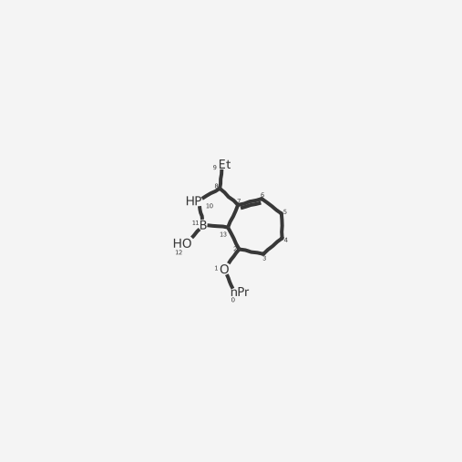 CCCOC1CCCC=C2C(CC)PB(O)C21